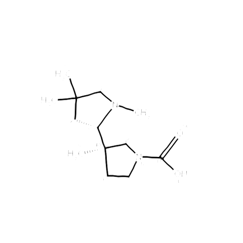 CN1CC(C)(C)C[C@H]1[C@]1(C)CCN(C(=O)O)C1